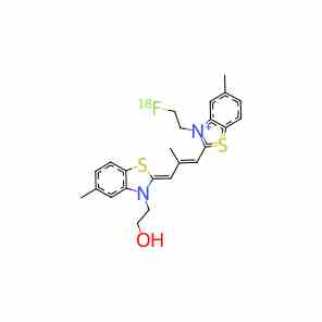 CC(/C=C1\Sc2ccc(C)cc2N1CCO)=C\c1sc2ccc(C)cc2[n+]1CC[18F]